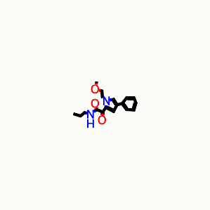 CCCNC(=O)C(=O)c1cc(-c2ccccc2)cn1CCOC